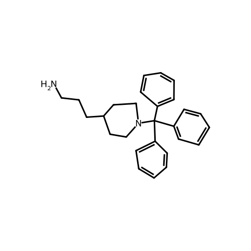 NCCCC1CCN(C(c2ccccc2)(c2ccccc2)c2ccccc2)CC1